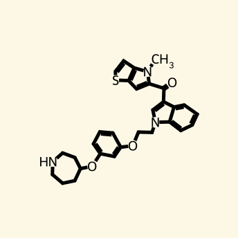 Cn1c(C(=O)c2cn(CCOc3cccc(OC4CCCNCC4)c3)c3ccccc23)cc2sccc21